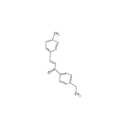 CCc1ccc(C(=O)C=Cc2ccc(C)cc2)cc1